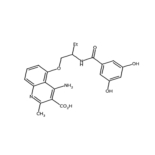 CCC(COc1cccc2nc(C)c(C(=O)O)c(N)c12)NC(=O)c1cc(O)cc(O)c1